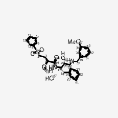 CCCOC(CCS(=O)(=O)c1ccccc1)C(=O)N[C@@H](Cc1ccccc1)[C@H](O)CNCc1cccc(OC)c1.Cl